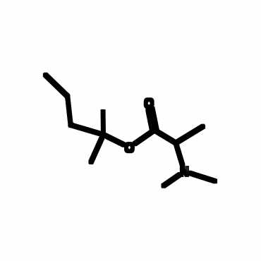 CCCC(C)(C)OC(=O)C(C)N(C)C